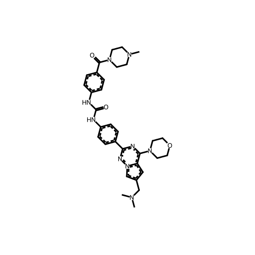 CN(C)Cc1cc2c(N3CCOCC3)nc(-c3ccc(NC(=O)Nc4ccc(C(=O)N5CCN(C)CC5)cc4)cc3)nn2c1